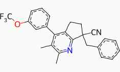 Cc1nc2c(c(-c3cccc(OC(F)(F)F)c3)c1C)CCC2(C#N)Cc1ccccc1